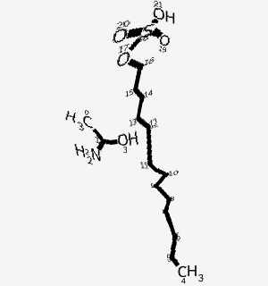 CC(N)O.CCCCCCCCCCCCCOS(=O)(=O)O